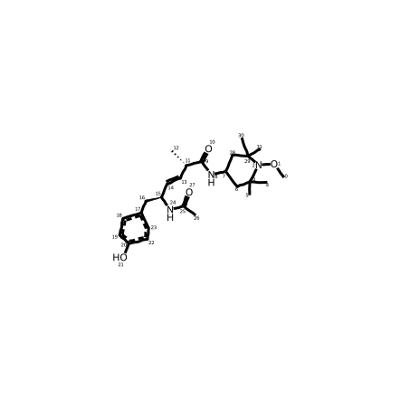 CON1C(C)(C)CC(NC(=O)[C@@H](C)/C=C/[C@H](Cc2ccc(O)cc2)NC(C)=O)CC1(C)C